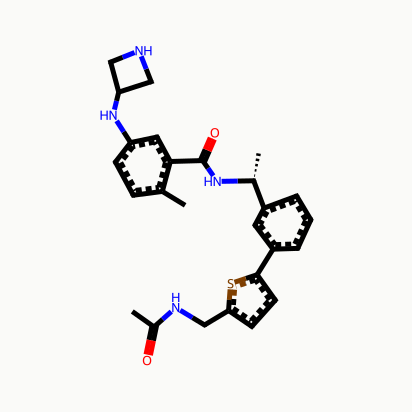 CC(=O)NCc1ccc(-c2cccc([C@@H](C)NC(=O)c3cc(NC4CNC4)ccc3C)c2)s1